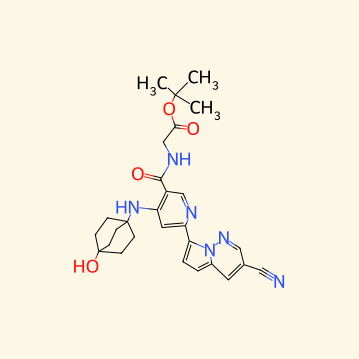 CC(C)(C)OC(=O)CNC(=O)c1cnc(-c2ccc3cc(C#N)cnn23)cc1NC12CCC(O)(CC1)CC2